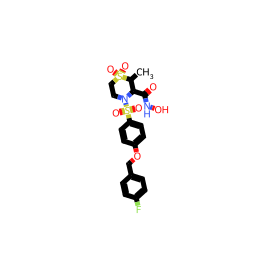 CC1C(C(=O)NO)N(S(=O)(=O)c2ccc(OCc3ccc(F)cc3)cc2)CCS1(=O)=O